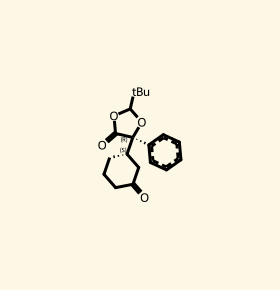 CC(C)(C)C1OC(=O)[C@](c2ccccc2)([C@H]2CCCC(=O)C2)O1